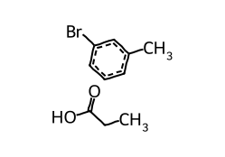 CCC(=O)O.Cc1cccc(Br)c1